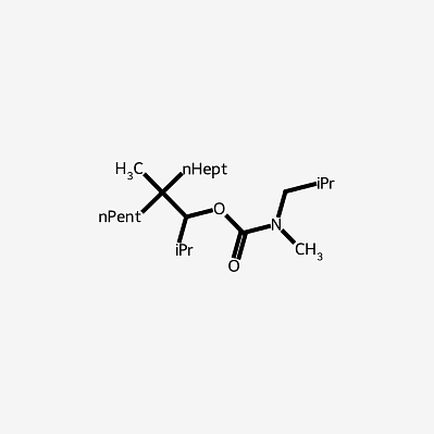 CCCCCCCC(C)(CCCCC)C(OC(=O)N(C)CC(C)C)C(C)C